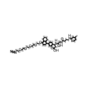 Cc1ccnc(NCCCC(=O)NCC(=O)NC(CC(=O)O)c2ccc(-c3ccc(OCCOCCOCCOCCOCCN=[N+]=[N-])c4c3CCCC4)cc2)c1